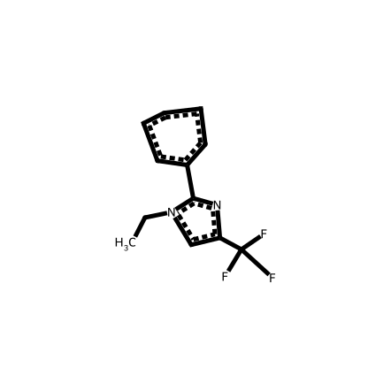 CCn1cc(C(F)(F)F)nc1-c1ccccc1